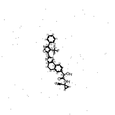 N#CC1(NC(=O)[C@H](O)c2ccc3c(c2)CCc2nc(-c4onc(-c5ccccc5)c4C(F)(F)F)sc2-3)CC1